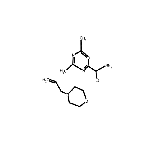 C=CCN1CCOCC1.CCC(N)c1nc(C)nc(C)n1